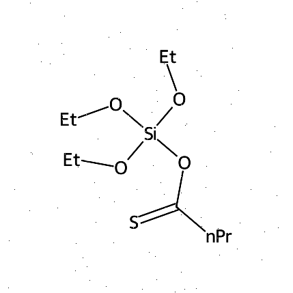 CCCC(=S)O[Si](OCC)(OCC)OCC